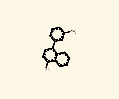 Cc1[c]c(-c2ccc(C)c3ccccc23)ccc1